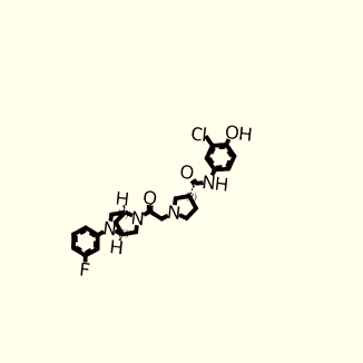 O=C(Nc1ccc(O)c(Cl)c1)[C@@H]1CCN(CC(=O)N2C[C@@H]3C[C@H]2CN3c2cccc(F)c2)C1